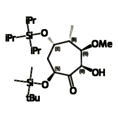 CO[C@@H]1[C@@H](C)[C@@H](O[Si](C(C)C)(C(C)C)C(C)C)C[C@H](O[Si](C)(C)C(C)(C)C)C(=O)[C@@H]1O